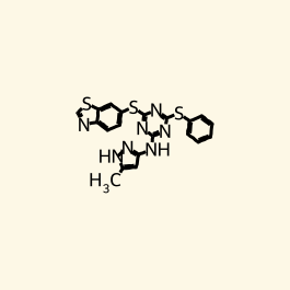 Cc1cc(Nc2nc(Sc3ccccc3)nc(Sc3ccc4ncsc4c3)n2)n[nH]1